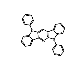 c1ccc(-n2c3ccccc3c3nc4c(cc32)c2ccccc2n4-c2ccccc2)cc1